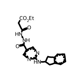 CCOC(=O)CC(=O)NNC(=O)c1cnc(NC2Cc3ccccc3C2)nc1